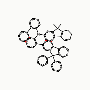 CC1(C)C2=C(C=CCC2)c2ccc(N(c3ccccc3-c3ccccc3)c3ccccc3-c3ccc4c(c3)C(c3ccccc3)(c3ccccc3)c3ccccc3-4)cc21